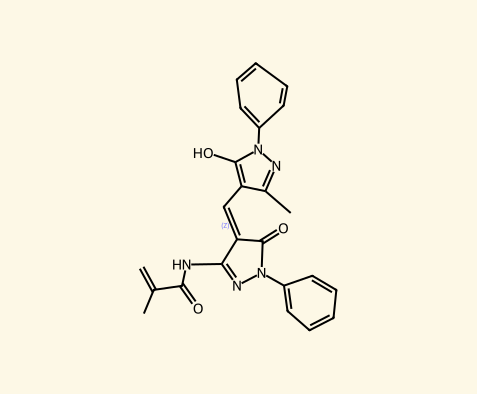 C=C(C)C(=O)NC1=NN(c2ccccc2)C(=O)/C1=C\c1c(C)nn(-c2ccccc2)c1O